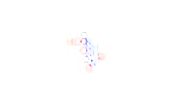 O=C1CCN2C(=O)c3cccc(NC(=O)Nc4cc(O)c5ccccc5n4)c3C2C1